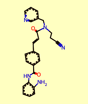 N#CCCN(Cc1cccnc1)C(=O)C=Cc1ccc(C(=O)Nc2ccccc2N)cc1